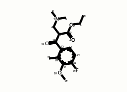 CCOC(=O)C(CN(C)C)C(=O)c1ccc(F)c(OC)c1C